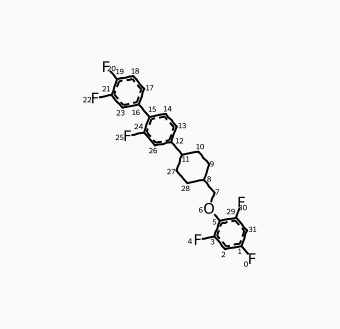 Fc1cc(F)c(OCC2CCC(c3ccc(-c4ccc(F)c(F)c4)c(F)c3)CC2)c(F)c1